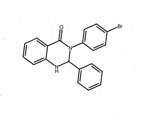 O=C1c2ccccc2NC(c2ccccc2)N1c1ccc(Br)cc1